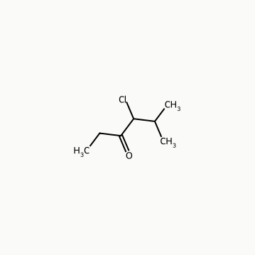 CCC(=O)C(Cl)C(C)C